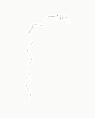 CCCCCCCC/C=C\CCN